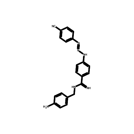 N#Cc1ccc(/N=N/Nc2ccc(C(=N)NCc3ccc(N)cc3)cc2)cc1